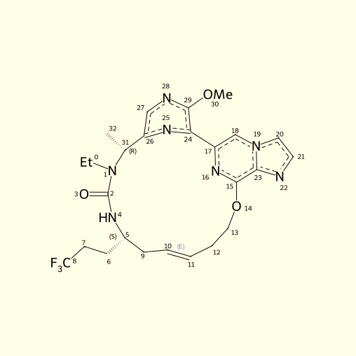 CCN1C(=O)N[C@@H](CCC(F)(F)F)C/C=C/CCOc2nc(cn3ccnc23)-c2nc(cnc2OC)[C@H]1C